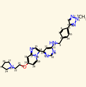 Cn1ncc(-c2ccc(CNc3cc(-c4cnc5cc(OCCN6CCCC6)ccn45)ncn3)cc2)n1